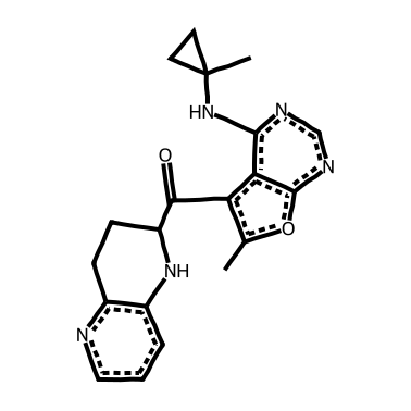 Cc1oc2ncnc(NC3(C)CC3)c2c1C(=O)C1CCc2ncccc2N1